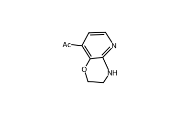 CC(=O)c1ccnc2c1OCCN2